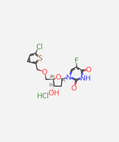 Cl.O=c1[nH]c(=O)n([C@H]2C[C@H](O)[C@@H](COCc3ccc(Cl)s3)O2)cc1F